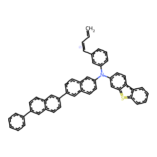 C=C/C=C\c1cccc(N(c2ccc3cc(-c4ccc5cc(-c6ccccc6)ccc5c4)ccc3c2)c2ccc3c(c2)sc2ccccc23)c1